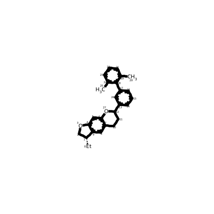 CC[C@@H]1COc2cc3c(cc21)CCC(c1cccc(-c2c(C)cccc2C)c1)O3